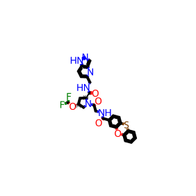 O=C(NCC(=O)N1C[C@H](OC(F)F)C[C@H]1C(=O)NCc1ccc2[nH]ncc2n1)c1ccc2c(c1)Oc1ccccc1S2